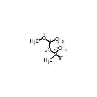 COC(C)O[Si](C)(C)F